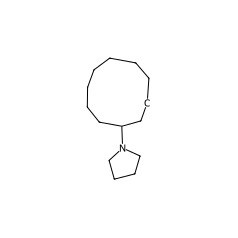 C1CCCCC(N2CCCC2)CCCC1